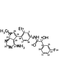 CCc1cc(NC(=O)C(O)c2cccc(F)c2)ccc1-c1cn(C)c2ncnc(N)c12